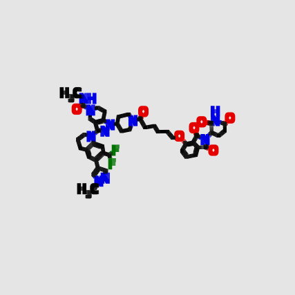 CNC(=O)N1CCc2c(c(N3CCCc4cc(-c5cnn(C)c5)c(C(F)F)cc43)nn2C2CCN(C(=O)CCCCCOc3cccc4c3C(=O)N(C3CCC(=O)NC3=O)C4=O)CC2)C1